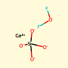 FOF.[Ge+4].[O-][Si]([O-])([O-])[O-]